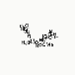 COc1ccc(NC(=O)CCCN(C)C(=O)CCN2CCC(OC(=O)Nc3ccccc3-c3ccccc3)CC2)cc1CCNC[C@@H](O)c1ccc(O)c2[nH]c(=O)ccc12